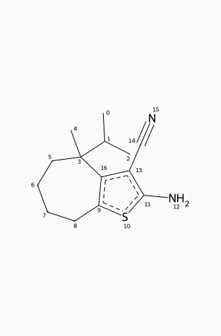 CC(C)C1(C)CCCCc2sc(N)c(C#N)c21